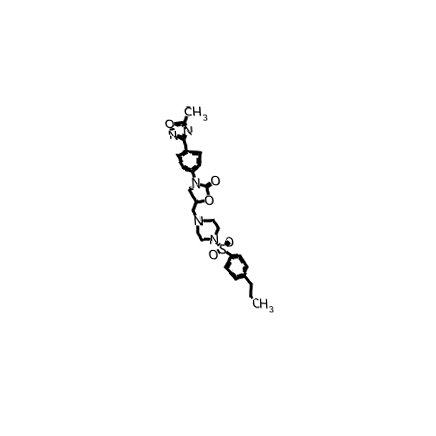 CCCc1ccc(S(=O)(=O)N2CCN(CC3CN(c4ccc(-c5noc(C)n5)cc4)C(=O)O3)CC2)cc1